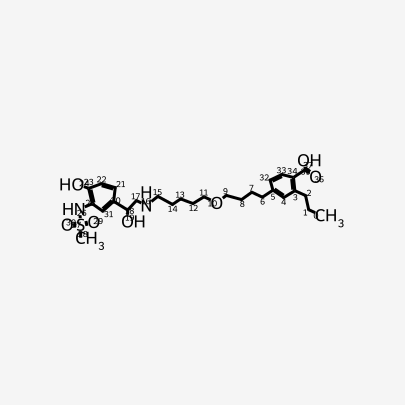 CCCc1cc(CCCCOCCCCCNCC(O)c2ccc(O)c(NS(C)(=O)=O)c2)ccc1C(=O)O